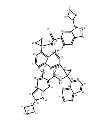 Cc1cc2cnn(C3CNC3)c2cc1C(=O)NC1(c2cccc3cc(C4CC4(NC(=O)c4cc5nn(C6CNC6)cc5cc4C)c4cccc5ccccc45)ccc23)CC1